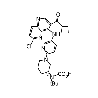 CC(C)(C)N(C(=O)O)[C@H]1CCCN(c2ccc(Nc3c(C(=O)C4CCC4)cnc4ccc(Cl)nc34)cn2)C1